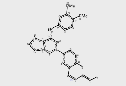 CC=C/C=C\c1cc(-c2cn3ccnc3c(Nc3ccc(OC)c(OC)c3)n2)ccc1C